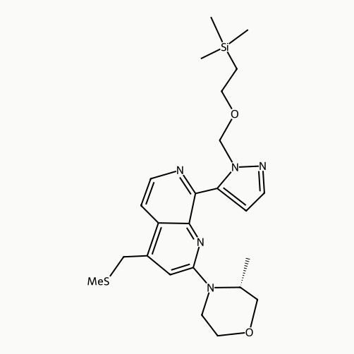 CSCc1cc(N2CCOC[C@H]2C)nc2c(-c3ccnn3COCC[Si](C)(C)C)nccc12